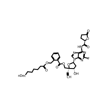 C#C[C@]1(COC(=O)c2ccccc2COC(=O)CCCCCCCCCCCCCCC)O[C@@H](n2cnc3c(NC(=O)[C@H]4CCC(=O)O4)nc(F)nc32)C[C@@H]1O